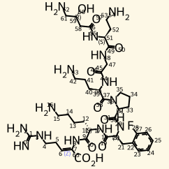 N=C(N)NCC/C=C(\NC(=O)[C@H](CCCCN)NC(=O)[C@H](Cc1ccccc1F)NC(=O)[C@@H]1CCCN1C(=O)[C@@H](CCCN)NC(=O)CNC(=O)[C@H](CCN)NC(=O)C[C@@H](O)CN)C(=O)O